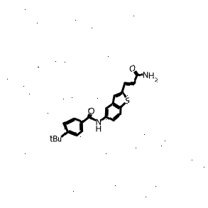 CC(C)(C)c1ccc(C(=O)Nc2ccc3sc(C=CC(N)=O)cc3c2)cc1